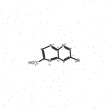 O=C(O)c1cnc2ncc(Br)cc2n1